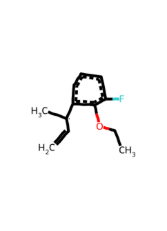 C=C[C](C)c1cccc(F)c1OCC